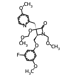 COCO[C@@]1(Cc2cc(OC)ccn2)C(=O)N(COC)[C@H]1COc1cc(F)cc(OC)c1